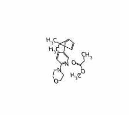 CC1(C)C2=CC=CC21c1ccc(N2CCOCC2)nc1.CCC(=O)OC